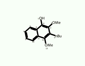 CCCCc1c(OC)c(O)c2ccccc2c1OC